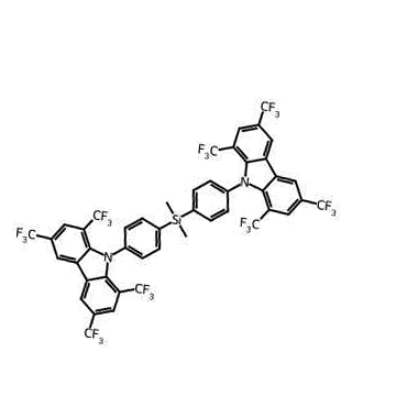 C[Si](C)(c1ccc(-n2c3c(C(F)(F)F)cc(C(F)(F)F)cc3c3cc(C(F)(F)F)cc(C(F)(F)F)c32)cc1)c1ccc(-n2c3c(C(F)(F)F)cc(C(F)(F)F)cc3c3cc(C(F)(F)F)cc(C(F)(F)F)c32)cc1